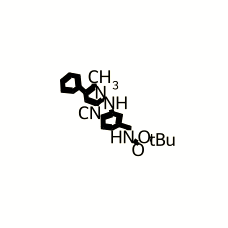 Cc1nc(Nc2cccc(CNC(=O)OC(C)(C)C)c2)c(C#N)cc1-c1ccccc1